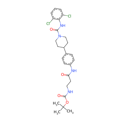 CC(C)(C)OC(=O)NCCC(=O)Nc1ccc(C2CCN(C(=O)Nc3c(Cl)cccc3Cl)CC2)cc1